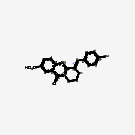 O=C(O)c1ccc2nc3n(c(=O)c2c1)CCC/C3=C\c1ccc(F)cc1